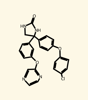 O=C1NCC(c2ccc(Oc3ccc(Cl)cc3)cc2)(c2cccc(Oc3cnccn3)c2)N1